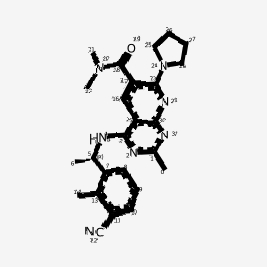 Cc1nc(N[C@H](C)c2cccc(C#N)c2C)c2cc(C(=O)N(C)C)c(N3CCCC3)nc2n1